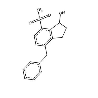 O=S(=O)(c1ccc(Cc2ccccc2)c2c1C(O)CC2)C(F)(F)F